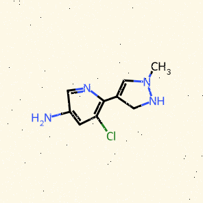 CN1C=C(c2ncc(N)cc2Cl)CN1